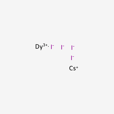 [Cs+].[Dy+3].[I-].[I-].[I-].[I-]